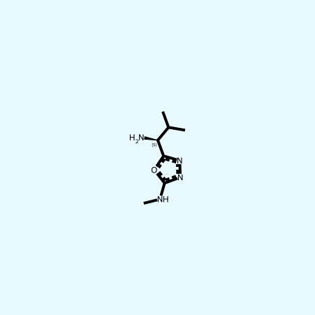 CNc1nnc([C@@H](N)C(C)C)o1